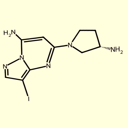 Nc1cc(N2CC[C@H](N)C2)nc2c(I)cnn12